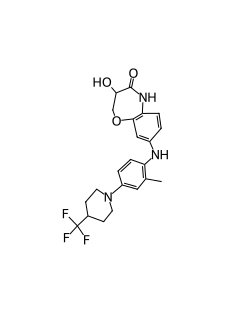 Cc1cc(N2CCC(C(F)(F)F)CC2)ccc1Nc1ccc2c(c1)OCC(O)C(=O)N2